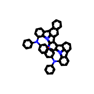 c1ccc(N(c2ccccc2)c2cccc3c4cccc5c6c7c8cc9ccccc9c9c%10cccc(N(c%11ccccc%11)c%11ccccc%11)c%10n(c7ncc6n(c23)c45)c89)cc1